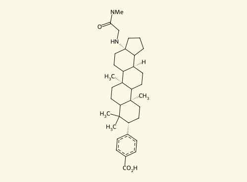 CNC(=O)CN[C@]12CCCC1[C@H]1CCC3[C@@](C)(CCC4C(C)(C)[C@@H](c5ccc(C(=O)O)cc5)CC[C@@]43C)C1CC2